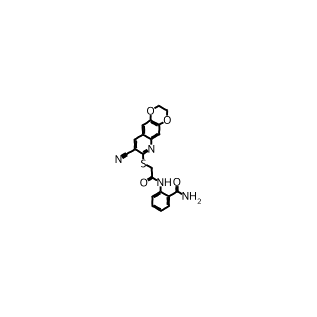 N#Cc1cc2cc3c(cc2nc1SCC(=O)Nc1ccccc1C(N)=O)OCCO3